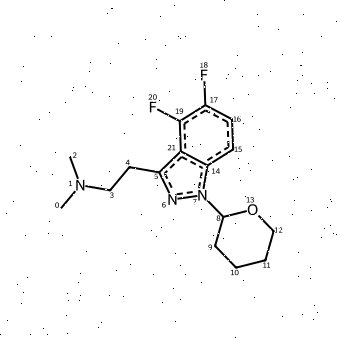 CN(C)CCc1nn(C2CCCCO2)c2ccc(F)c(F)c12